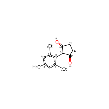 CCc1cc(C)cc(CC)c1C1C(=O)CCC1=O